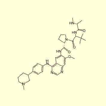 CNC(C)C(=O)NC(C(=O)N1CCC[C@H]1C(=O)Nc1cc2c(Nc3ccc(C4CCCN(C)C4)cc3)ncnc2cc1OC)C(C)(C)C